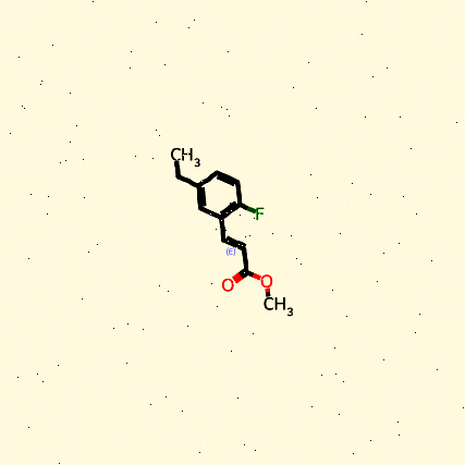 CCc1ccc(F)c(/C=C/C(=O)OC)c1